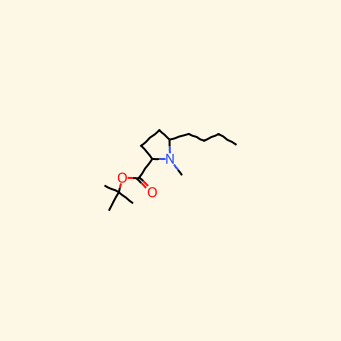 CCCCC1CCC(C(=O)OC(C)(C)C)N1C